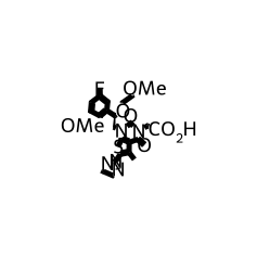 COCCO[C@@H](Cn1c(=O)n(CC(=O)O)c(=O)c2c(C)c(-n3nccn3)sc21)c1cc(F)ccc1OC